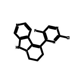 Fc1cnc(Cl)nc1C1=C2c3ccncc3NN2CCC1